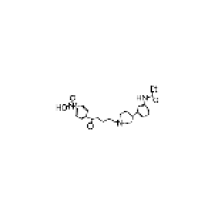 CCC(=O)Nc1cccc(C2CCN(CCCCC(=O)c3ccc([N+](=O)O)cc3)CC2)c1